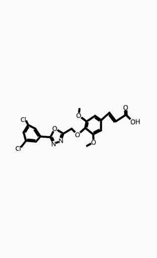 COc1cc(/C=C/C(=O)O)cc(OC)c1OCc1nnc(-c2cc(Cl)cc(Cl)c2)o1